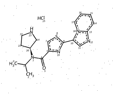 CC(C)N(C(=O)c1csc(-c2cnc3ccccn23)n1)[C@H]1CCNC1.Cl